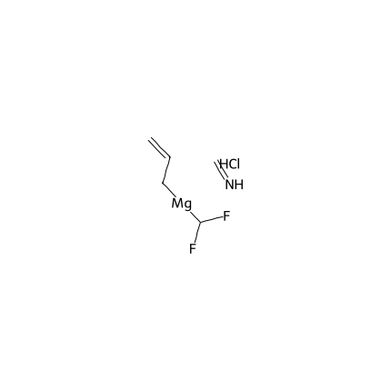 C=C[CH2][Mg][CH](F)F.C=N.Cl